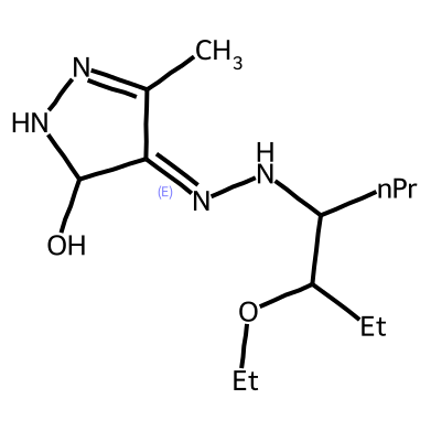 CCCC(N/N=C1\C(C)=NNC1O)C(CC)OCC